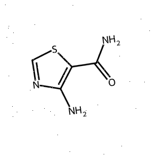 NC(=O)c1scnc1N